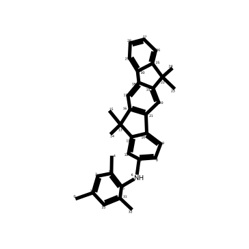 Cc1cc(C)c(Nc2ccc3c(c2)C(C)(C)c2cc4c(cc2-3)C(C)(C)c2ccccc2-4)c(C)c1